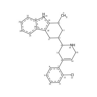 CC1CC(C2CC(c3ccccc3Cl)=CCN2)Cc2c1[nH]c1ccccc21